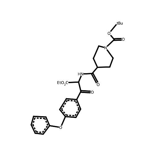 CCOC(=O)C(NC(=O)C1CCN(C(=O)OC(C)(C)C)CC1)C(=O)c1ccc(Oc2ccccc2)cc1